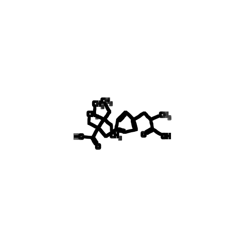 CCC(CC)(CC)C(CC)(Cc1ccc(CC(C)C(=O)O)cc1)C(=O)O